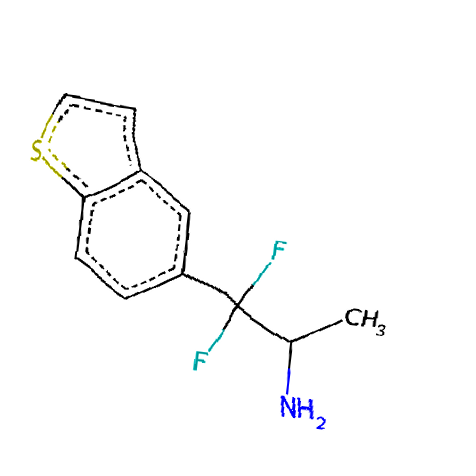 CC(N)C(F)(F)c1ccc2sccc2c1